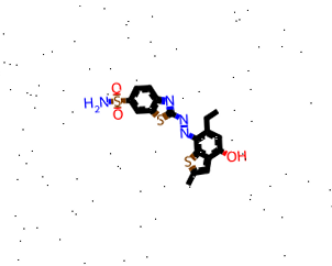 CCc1cc(O)c2cc(C)sc2c1/N=N/c1nc2ccc(S(N)(=O)=O)cc2s1